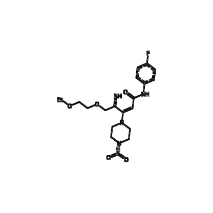 CCOCCOCC(=N)/C(=C\C(=O)Nc1ccc(F)cc1)N1CCN([SH](=O)=O)CC1